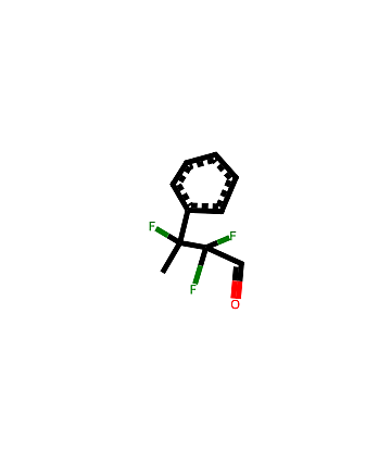 CC(F)(c1ccccc1)C(F)(F)C=O